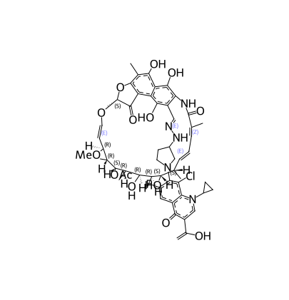 C=C(O)c1cn(C2CC2)c2c(Cl)c(N3CCC(N/N=C/c4c5c(O)c6c(O)c(C)c7c(c6c4O)C(=O)[C@@](C)(O/C=C/[C@H](OC)[C@@H](C)[C@@H](OC(C)=O)[C@H](C)[C@H](O)[C@H](C)[C@@H](O)[C@@H](C)/C=C/C=C(/C)C(=O)N5)O7)C3)c(F)cc2c1=O